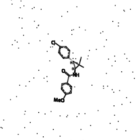 COc1ccc(C(=O)N[C@H]2[C@H](c3ccc(Cl)cc3)C2(C)C)cc1